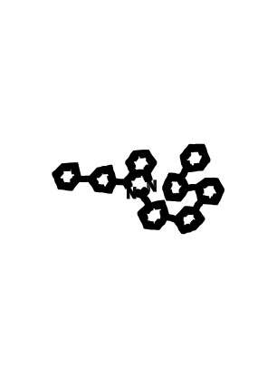 c1ccc(-c2ccc(-c3nc(-c4cccc(-c5cccc(-c6ccccc6-c6ccccc6-c6ccccc6)c5)c4)nc4ccccc34)cc2)cc1